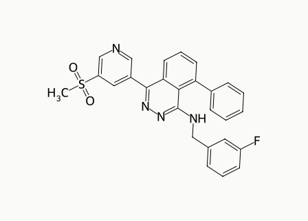 CS(=O)(=O)c1cncc(-c2nnc(NCc3cccc(F)c3)c3c(-c4ccccc4)cccc23)c1